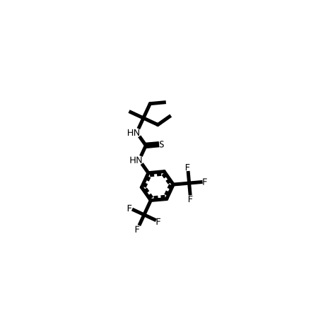 CCC(C)(CC)NC(=S)Nc1cc(C(F)(F)F)cc(C(F)(F)F)c1